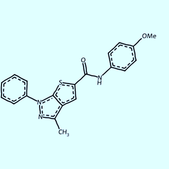 COc1ccc(NC(=O)c2cc3c(C)nn(-c4ccccc4)c3s2)cc1